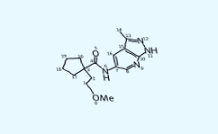 COCCC1(C(=O)Nc2cnc3[nH]nc(C)c3c2)CCCC1